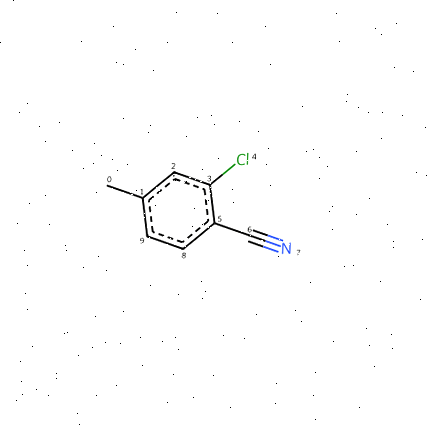 Cc1[c]c(Cl)c(C#N)cc1